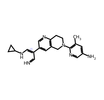 Cc1cc(N)cnc1N1CCc2ncc(/C(C=N)=C/NC3CC3)cc2C1